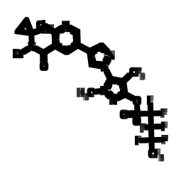 CCN(C(=O)c1cc(-c2cnn(-c3c(C(F)(F)F)c(OS(=O)(=O)C(F)(F)C(F)(F)C(F)(F)C(F)(F)F)nn3C)c2)cnc1Cl)C1(C#N)CC1